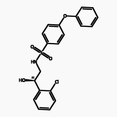 O=S(=O)(NC[C@H](O)c1ccccc1Cl)c1ccc(Oc2ccccc2)cc1